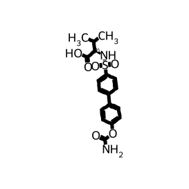 CC(C)[C@@H](NS(=O)(=O)c1ccc(-c2ccc(OC(N)=O)cc2)cc1)C(=O)O